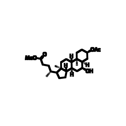 COC(=O)CC[C@@H](C)C1CC[C@H]2[C@@H]3C[C@H](O)[C@@H]4C[C@H](OC(C)=O)CC[C@]4(C)[C@H]3CC[C@]12C